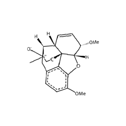 COc1ccc2c3c1O[C@H]1[C@@H](OC)C=C[C@H]4[C@@H](C2)[N+](C)([O-])CC[C@@]341